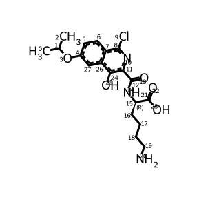 CC(C)Oc1ccc2c(Cl)nc(C(=O)N[C@H](CCCCN)C(=O)O)c(O)c2c1